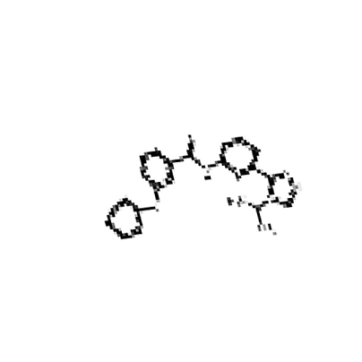 CC(C)n1cnnc1-c1cccc(NC(=O)c2cccc(Sc3ccccc3)c2)n1